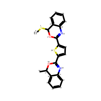 CCSC1OC(c2ccc(C3=Nc4ccccc4C(C)O3)s2)=Nc2ccccc21